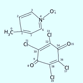 Cc1cc[n+]([O-])cc1.O=C1C(Cl)=C(Cl)C(=O)C(Cl)=C1Cl